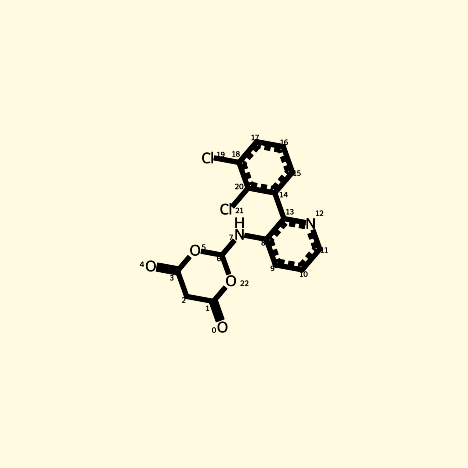 O=C1CC(=O)OC(Nc2cccnc2-c2cccc(Cl)c2Cl)O1